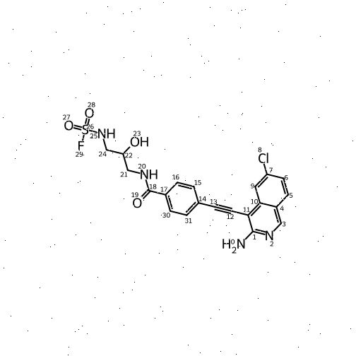 Nc1ncc2ccc(Cl)cc2c1C#Cc1ccc(C(=O)NCC(O)CNS(=O)(=O)F)cc1